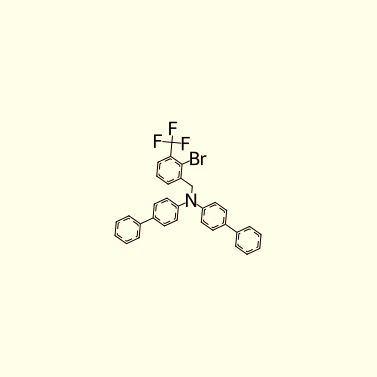 FC(F)(F)c1cccc(CN(c2ccc(-c3ccccc3)cc2)c2ccc(-c3ccccc3)cc2)c1Br